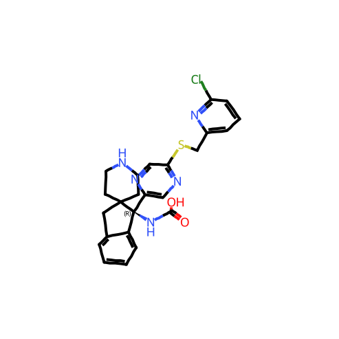 O=C(O)N[C@@]1(c2cnc(SCc3cccc(Cl)n3)cn2)c2ccccc2CC12CCNCC2